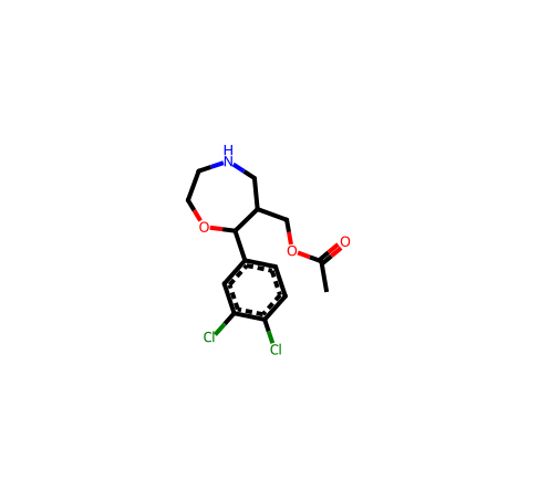 CC(=O)OCC1CNCCOC1c1ccc(Cl)c(Cl)c1